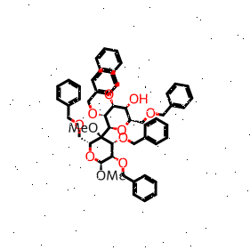 CO[C@H]1O[C@H](COCc2ccccc2)[C@](OC)([C@@H]2O[C@H](COCc3ccccc3)[C@H](O)[C@H](OCc3ccccc3)[C@H]2OCc2ccccc2)[C@H](OCc2ccccc2)[C@H]1OCc1ccccc1